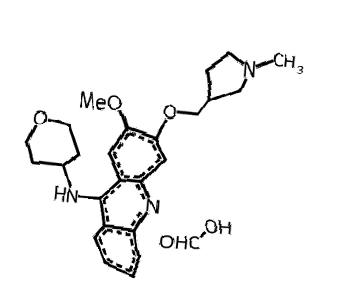 COc1cc2c(NC3CCOCC3)c3ccccc3nc2cc1OCC1CCN(C)C1.O=CO